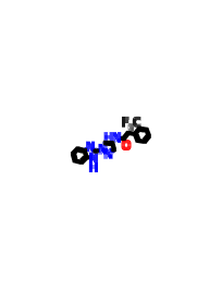 O=C(Cc1ccccc1C(F)(F)F)Nc1cnn(-c2nc3ccccc3[nH]2)c1